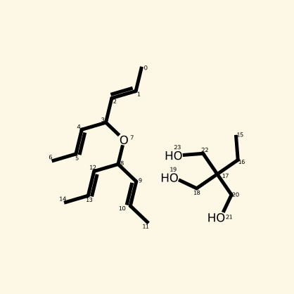 CC=CC(C=CC)OC(C=CC)C=CC.CCC(CO)(CO)CO